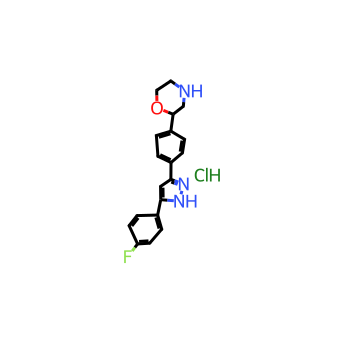 Cl.Fc1ccc(-c2cc(-c3ccc(C4CNCCO4)cc3)n[nH]2)cc1